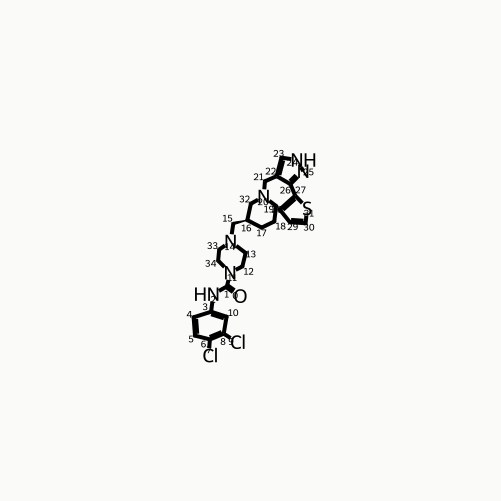 O=C(Nc1ccc(Cl)c(Cl)c1)N1CCN(C[C@@H]2CCCN(Cc3c[nH]nc3-c3cccs3)C2)CC1